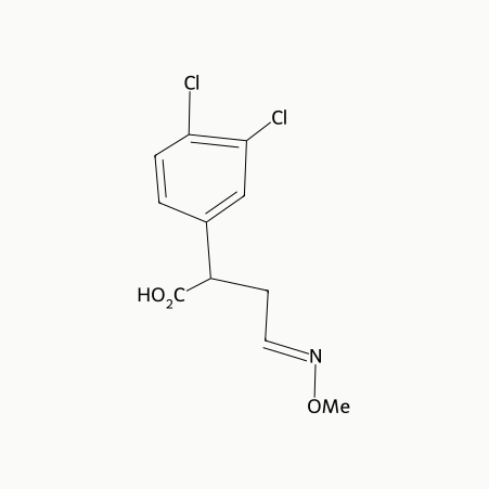 CON=CCC(C(=O)O)c1ccc(Cl)c(Cl)c1